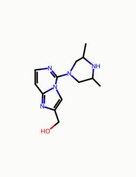 CC1CN(c2nccc3nc(CO)cn23)CC(C)N1